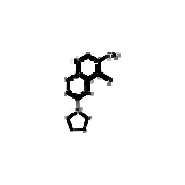 O=C(O)c1c[nH]c2ccc(N3CCCC3)nc2c1=O